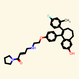 Cc1cc(F)ccc1C1=C(c2ccc(OCCNC/C=C/C(=O)N3CCCC3)cc2)c2ccc(O)cc2CCC1